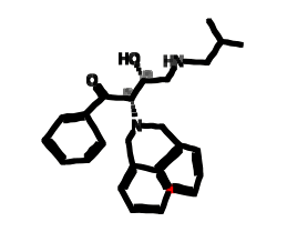 CC(C)CNC[C@@H](O)[C@@H](C(=O)c1ccccc1)N(Cc1ccccc1)Cc1ccccc1